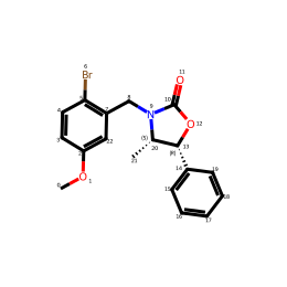 COc1ccc(Br)c(CN2C(=O)O[C@H](c3ccccc3)[C@@H]2C)c1